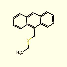 CCSCc1c2ccccc2cc2ccccc12